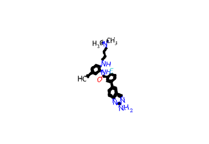 C#Cc1ccc(NCCCCN(C)C)c(NC(=O)c2cc(-c3ccc4nc(N)ncc4c3)ccc2F)c1